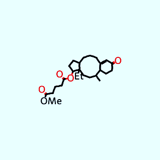 CCC12CCC(C)C3CCC(=O)C=C3CCCC1CCC2OC(=O)CCCC(=O)OC